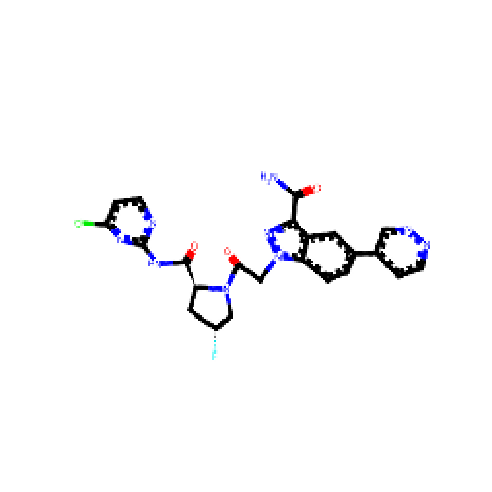 NC(=O)c1nn(CC(=O)N2C[C@H](F)C[C@H]2C(=O)Nc2nccc(Cl)n2)c2ccc(-c3ccnnc3)cc12